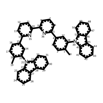 Cc1ccc(-c2cccc(-c3cccc(-c4ccc(C)c(-n5c6ccccc6c6ccccc65)c4)n3)n2)cc1-n1c2ccccc2c2ccccc21